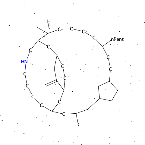 C=C1CC2CCC1CC1CCCCNCC(C2)[C@@H](C)CCCCC(CCCCC)CCC2CCC(CC(C)C1)C2